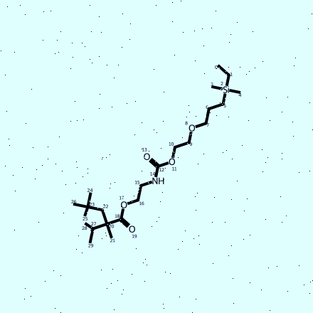 CC[Si](C)(C)CCCOCCOC(=O)NCCOC(=O)C(C)(CC(C)(C)C)C(C)C